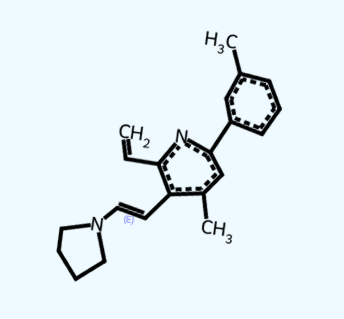 C=Cc1nc(-c2cccc(C)c2)cc(C)c1/C=C/N1CCCC1